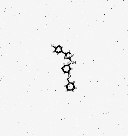 Fc1ccc(-c2csc(Nc3cccc(OCc4ccccc4)c3)n2)cc1